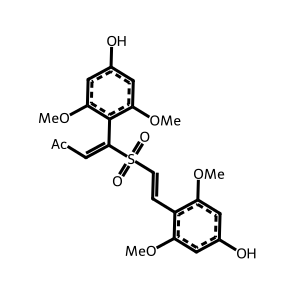 COc1cc(O)cc(OC)c1C=CS(=O)(=O)/C(=C/C(C)=O)c1c(OC)cc(O)cc1OC